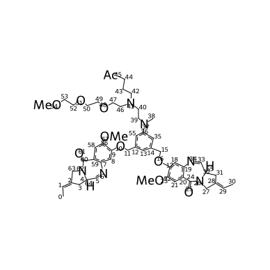 C/C=C1\C[C@H]2C=Nc3cc(OCc4cc(COc5cc6c(cc5OC)C(=O)N5C/C(=C/C)C[C@H]5C=N6)cc(N(C)CCN(CCCC(C)=O)CCOCCOCCOC)c4)c(OC)cc3C(=O)N2C1